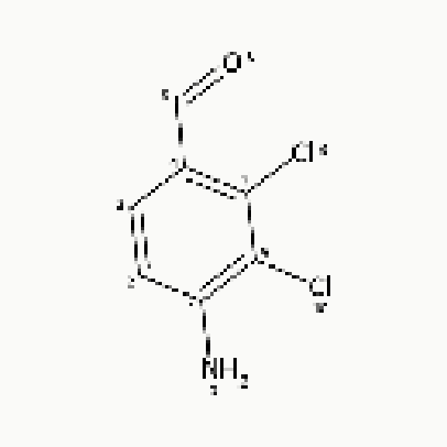 Nc1ccc(C=O)c(Cl)c1Cl